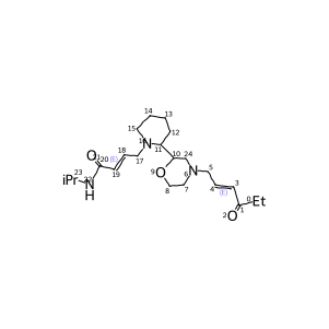 CCC(=O)/C=C/CN1CCOC(C2CCCCN2C/C=C/C(=O)NC(C)C)C1